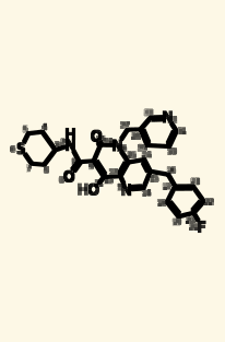 O=C(NC1CCSCC1)c1c(O)c2ncc(Cc3ccc(F)cc3)cc2n(Cc2cccnc2)c1=O